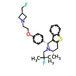 C[C@H]1Cc2sc3ccccc3c2[C@@H](c2ccc(OCCN3CC(CF)C3)cc2)N1CC(C)(C)F